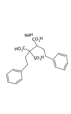 O=C(O)C(CCc1ccccc1)C(CCc1ccccc1)(C(=O)O)S(=O)(=O)O.[NaH]